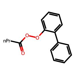 CCCC(=O)OOc1ccccc1-c1ccccc1